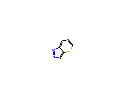 c1csc2cnnc-2c1